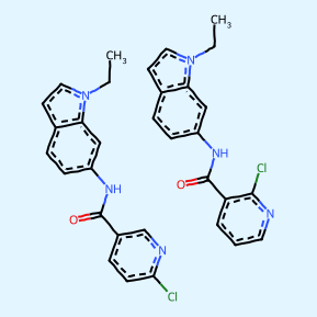 CCn1ccc2ccc(NC(=O)c3ccc(Cl)nc3)cc21.CCn1ccc2ccc(NC(=O)c3cccnc3Cl)cc21